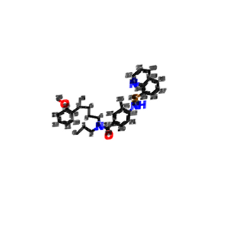 CCCN(CCCC(C)c1ccccc1OC)C(=O)c1ccc(NSc2cccc3cccnc23)c(C)c1